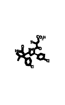 Cc1c[nH]c(=O)c(C2=NN(C(=O)C(F)CC(=O)O)[C@@H](c3ccc(Cl)cc3)C2)c1-c1ccc(Cl)cc1